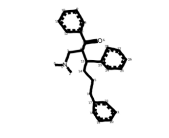 CN(C)CC(C(=O)c1ccccc1)C(CCCc1ccccc1)c1ccccc1